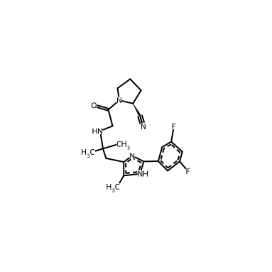 Cc1[nH]c(-c2cc(F)cc(F)c2)nc1CC(C)(C)NCC(=O)N1CCC[C@H]1C#N